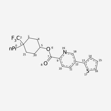 CCCC1(C(F)(F)F)CCC(OC(=O)c2ccc(-c3cccs3)cn2)CC1